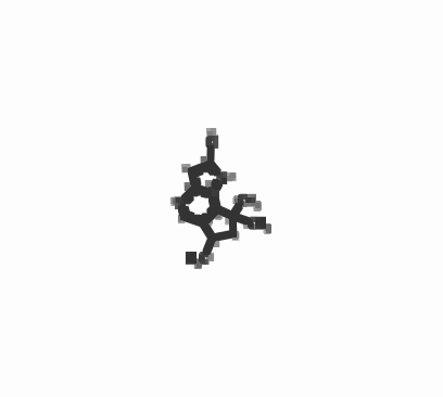 CC1CC(C)(C)c2c1cnc1cc(Cl)nn21